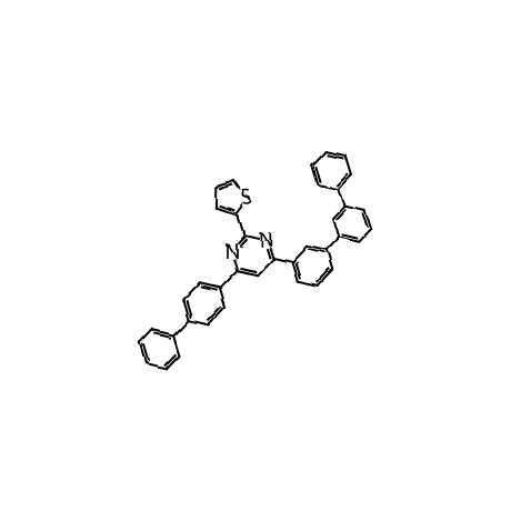 c1ccc(-c2ccc(-c3cc(-c4cccc(-c5cccc(-c6ccccc6)c5)c4)nc(-c4cccs4)n3)cc2)cc1